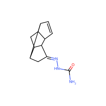 NC(=O)N/N=C1\CC2C3C=CC4C3CC2C14